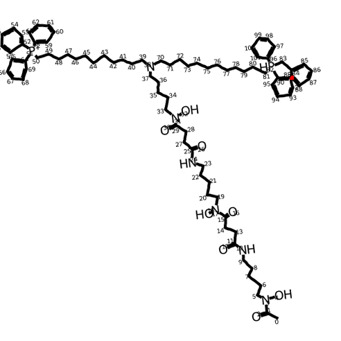 CC(=O)N(O)CCCCCNC(=O)CCC(=O)N(O)CCCCCNC(=O)CCC(=O)N(O)CCCCCN(CCCCCCCCCCCC[P+](c1ccccc1)(c1ccccc1)c1ccccc1)CCCCCCCCCCCC[PH](Cc1ccccc1)(c1ccccc1)c1ccccc1